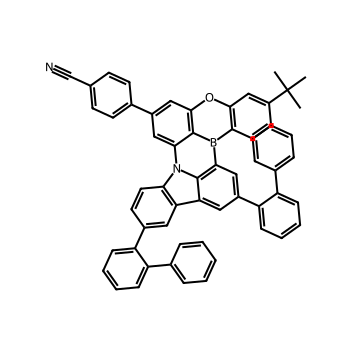 CC(C)(C)c1ccc2c(c1)Oc1cc(-c3ccc(C#N)cc3)cc3c1B2c1cc(-c2ccccc2-c2ccccc2)cc2c4cc(-c5ccccc5-c5ccccc5)ccc4n-3c12